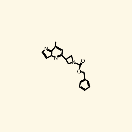 CC1=CC(C2CN(C(=O)OCc3ccccc3)C2)=NC2C=CN=C12